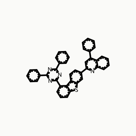 c1ccc(-c2nc(-c3ccccc3)nc(-c3cccc4sc5cc(-c6cc(-c7ccccc7)c7ccccc7n6)ccc5c34)n2)cc1